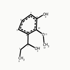 CCC(O)c1cccc(O)c1OC